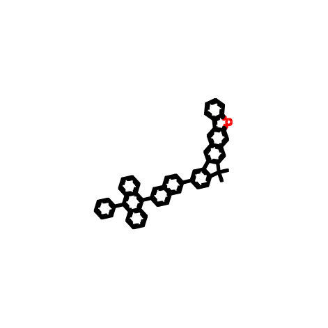 CC1(C)c2ccc(-c3ccc4cc(-c5c6ccccc6c(-c6ccccc6)c6ccccc56)ccc4c3)cc2-c2cc3cc4c(cc3cc21)oc1ccccc14